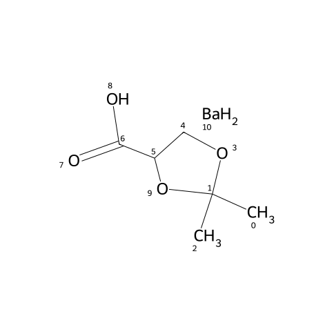 CC1(C)OCC(C(=O)O)O1.[BaH2]